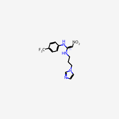 O=[N+]([O-])/C=C(/NCCCn1ccnc1)Nc1ccc(C(F)(F)F)cc1